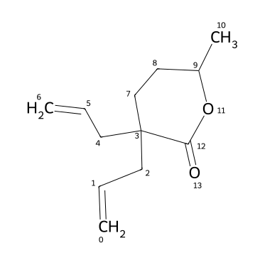 C=CCC1(CC=C)CCC(C)OC1=O